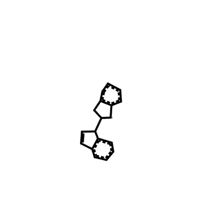 [C]1c2ccccc2CC1C1C=Cc2ccccc21